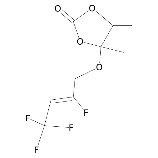 CC1OC(=O)OC1(C)OCC(F)=CC(F)(F)F